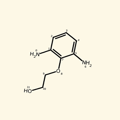 Nc1cccc(N)c1OCCO